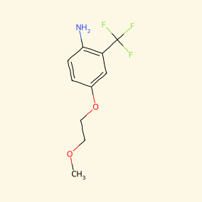 COCCOc1ccc(N)c(C(F)(F)F)c1